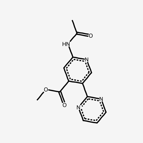 COC(=O)c1cc(NC(C)=O)ncc1-c1ncccn1